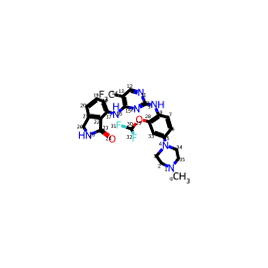 CN1CCN(c2ccc(Nc3ncc(C(F)(F)F)c(Nc4cccc5c4C(=O)NC5)n3)c(OC(F)F)c2)CC1